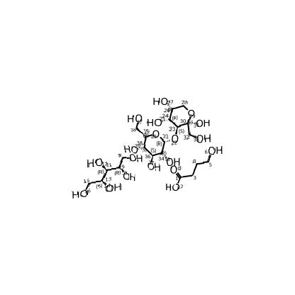 O=C(O)CCCO.OC[C@@H](O)[C@H](O)[C@@H](O)CO.OC[C@H]1O[C@H](O[C@H]2[C@H](O)[C@H](O)CO[C@@]2(O)CO)[C@H](O)[C@@H](O)[C@@H]1O